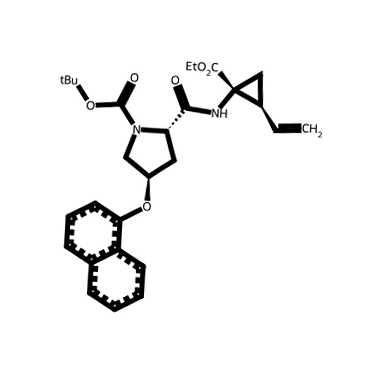 C=C[C@@H]1C[C@]1(NC(=O)[C@@H]1C[C@@H](Oc2cccc3ccccc23)CN1C(=O)OC(C)(C)C)C(=O)OCC